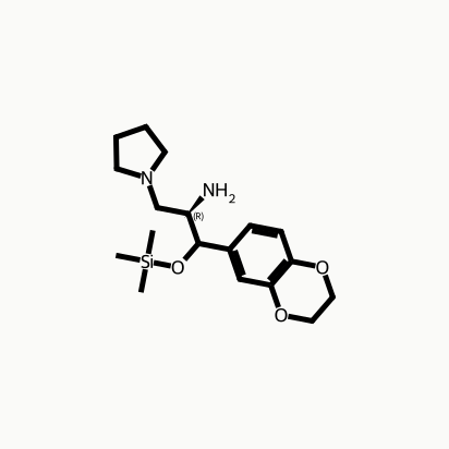 C[Si](C)(C)OC(c1ccc2c(c1)OCCO2)[C@H](N)CN1CCCC1